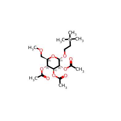 COC[C@H]1O[C@H](OCC[Si](C)(C)C)[C@H](OC(C)=O)[C@@H](OC(C)=O)[C@@H]1OC(C)=O